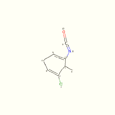 CC1C(Cl)=CCC=C1N=C=O